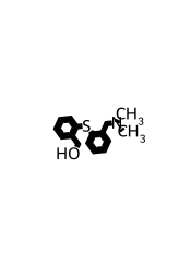 CN(C)Cc1ccccc1Sc1ccccc1CO